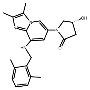 Cc1cccc(C)c1CNc1cc(N2C[C@H](O)CC2=O)cn2c(C)c(C)nc12